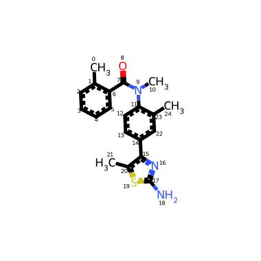 Cc1ccccc1C(=O)N(C)c1ccc(-c2nc(N)sc2C)cc1C